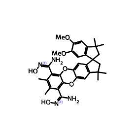 COc1cc2c(cc1OC)C1(CC2(C)C)CC(C)(C)c2cc3c(cc21)Oc1c(c(/C(N)=N\O)c(C)c(C)c1/C(N)=N\O)O3